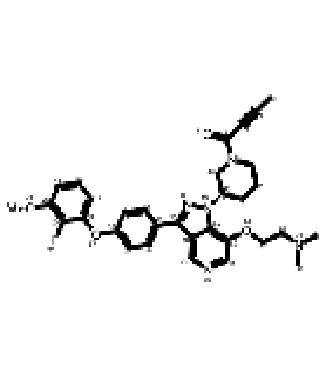 CC#CC(=O)N1CCC[C@@H](n2nc(-c3ccc(Oc4cccc(OC)c4F)cc3)c3cncc(OCCN(C)C)c32)C1